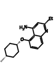 CCc1cc(N)c2c(O[C@H]3CC[C@@H](C)CC3)cccc2n1